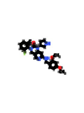 COc1ccc(CNc2cc3c(cn2)CN(c2c(C)cccc2F)C(=O)N3[C@@H]2CCNC2)c(OC)c1